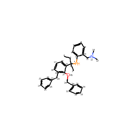 CCC(C)(Pc1ccccc1CN(C)C)c1cccc(Cc2ccccc2)c1OCc1ccccc1